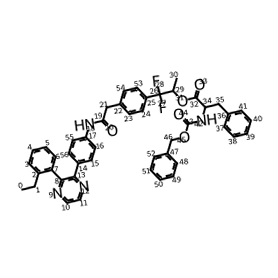 CCc1ccccc1-c1nccnc1-c1ccc(NC(=O)Cc2ccc(C(F)(F)C(C)OC(=O)C(Cc3ccccc3)NC(=O)OCc3ccccc3)cc2)cc1